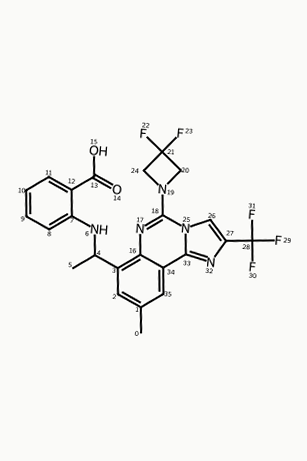 Cc1cc(C(C)Nc2ccccc2C(=O)O)c2nc(N3CC(F)(F)C3)n3cc(C(F)(F)F)nc3c2c1